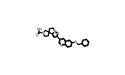 O=C(O)N1CCC2(CCn3nc(-c4cnc5ccc(OCc6ccccc6)cc5c4)cc32)C1